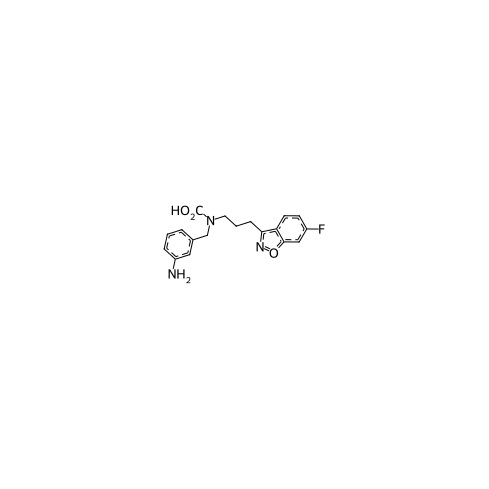 Nc1cccc(CN(CCCc2noc3cc(F)ccc23)C(=O)O)c1